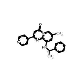 Cc1cc(N[C@H](C)c2ccccc2)c2nc(-c3ccncc3)cc(=O)n2c1